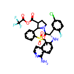 CCS(=O)(=O)c1ccccc1C1C(C(=O)OC(=O)C(F)(F)F)CCN1C(=O)[C@@H](Nc1ccc2c(N)nccc2c1)c1cc(Cl)ccc1F